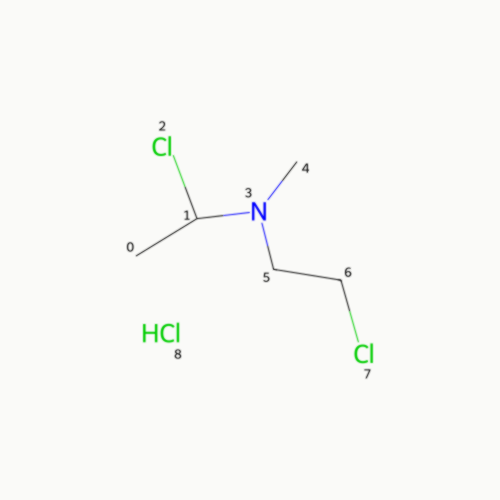 CC(Cl)N(C)CCCl.Cl